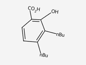 CCCCc1ccc(C(=O)O)c(O)c1CCCC